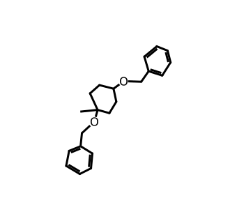 CC1(OCc2ccccc2)CCC(OCc2ccccc2)CC1